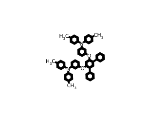 Cc1ccc(N(c2ccc(C)cc2)c2cccc(Oc3cc(Oc4cccc(N(c5ccc(C)cc5)c5ccc(C)cc5)c4)c(-c4ccccc4)cc3-c3ccccc3)c2)cc1